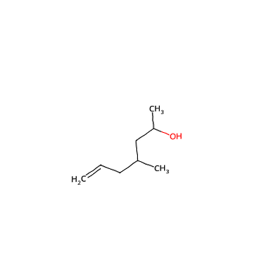 C=CCC(C)CC(C)O